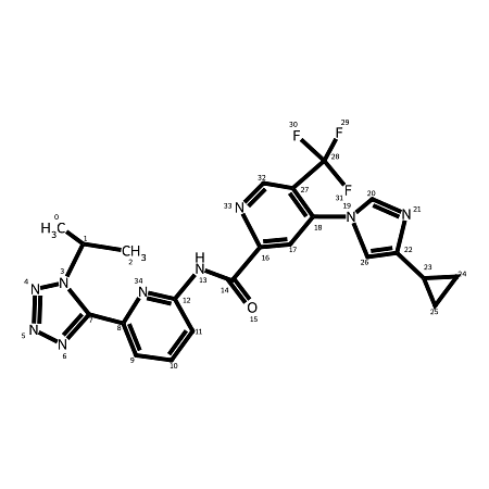 CC(C)n1nnnc1-c1cccc(NC(=O)c2cc(-n3cnc(C4CC4)c3)c(C(F)(F)F)cn2)n1